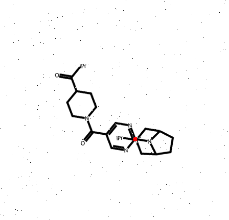 CC(C)C(=O)C1CCN(C(=O)c2cnc(N3C4CCC3CN(C(C)C)C4)nc2)CC1